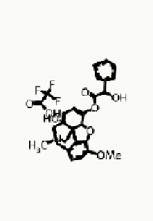 COc1ccc2c3c1OC1C(OC(=O)C(O)c4ccccc4)=CCC4(O)C(C2)N(C)CCC314.O=C(O)C(F)(F)F